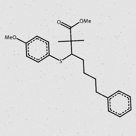 COC(=O)C(C)(C)C(CCCCc1ccccc1)Sc1ccc(OC)cc1